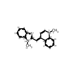 CN1C=C/C(=C\c2sc3ccccc3[n+]2C)c2ccccc21